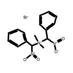 C[N+](C)(C(c1ccccc1)[N+](=O)[O-])C(c1ccccc1)[N+](=O)[O-].[Br-]